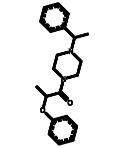 CC(Oc1ccccc1)C(=O)N1CCN(C(C)c2ccccc2)CC1